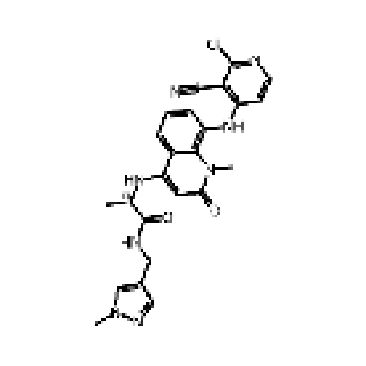 C[C@@H](Nc1cc(=O)n(C)c2c(Nc3ccnc(Cl)c3C#N)cccc12)C(=O)NCc1cnn(C)c1